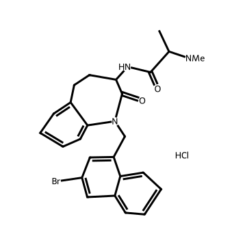 CNC(C)C(=O)NC1CCc2ccccc2N(Cc2cc(Br)cc3ccccc23)C1=O.Cl